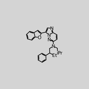 CCC(CN(CC(C)C)c1ccc2ncc(-c3cc4ccccc4o3)n2n1)c1ccccc1